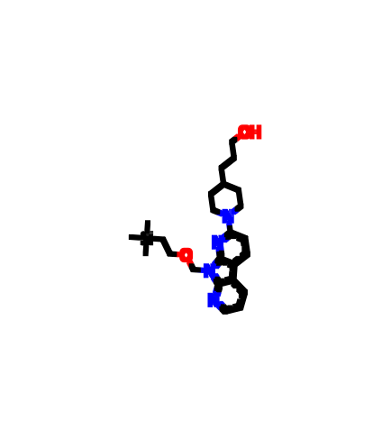 C[Si](C)(C)CCOCn1c2ncccc2c2ccc(N3CCC(CCCO)CC3)nc21